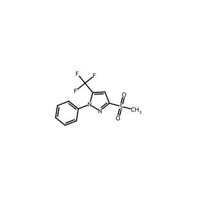 CS(=O)(=O)c1cc(C(F)(F)F)n(-c2ccccc2)n1